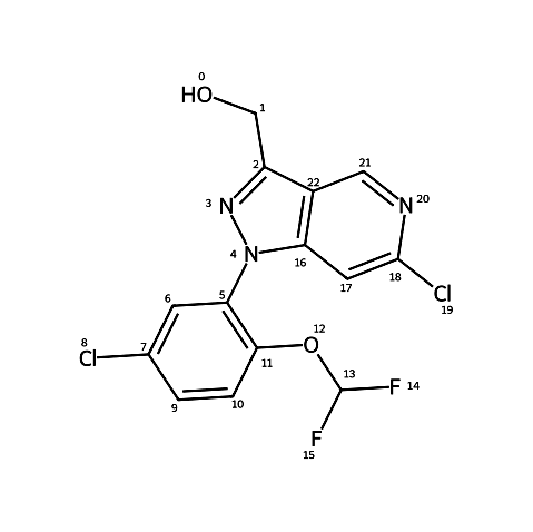 OCc1nn(-c2cc(Cl)ccc2OC(F)F)c2cc(Cl)ncc12